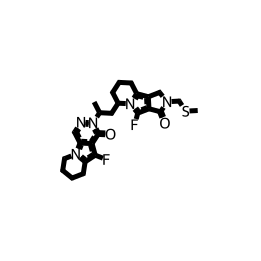 CSCN1Cc2c(c(F)n3c2CCCC3CC(C)n2ncc3c(c(F)c4n3CCCC4)c2=O)C1=O